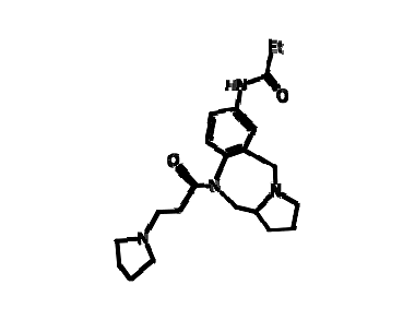 CCC(=O)Nc1ccc2c(c1)CN1CCCC1CN2C(=O)CCN1CCCC1